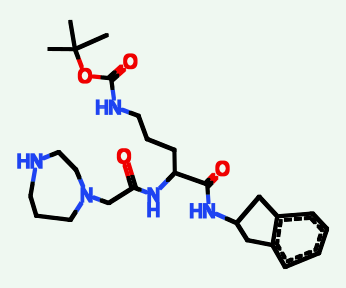 CC(C)(C)OC(=O)NCCCC(NC(=O)CN1CCCNCC1)C(=O)NC1Cc2ccccc2C1